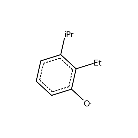 CCc1c([O])cccc1C(C)C